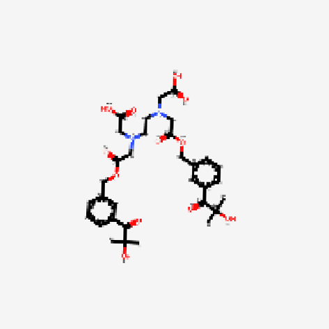 CC(C)(O)C(=O)c1cccc(COC(=O)CN(CCN(CC(=O)O)CC(=O)OCc2cccc(C(=O)C(C)(C)O)c2)CC(=O)O)c1